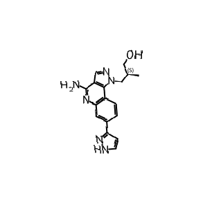 C[C@H](CO)Cn1ncc2c(N)nc3cc(-c4cc[nH]n4)ccc3c21